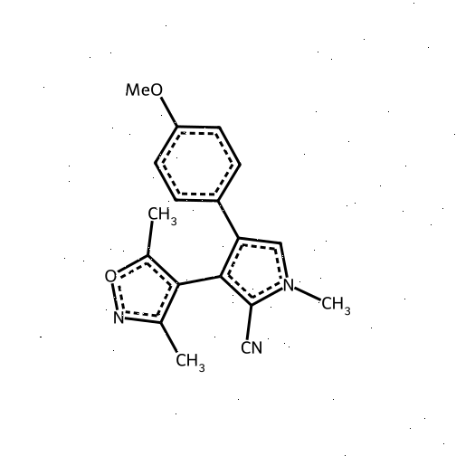 COc1ccc(-c2cn(C)c(C#N)c2-c2c(C)noc2C)cc1